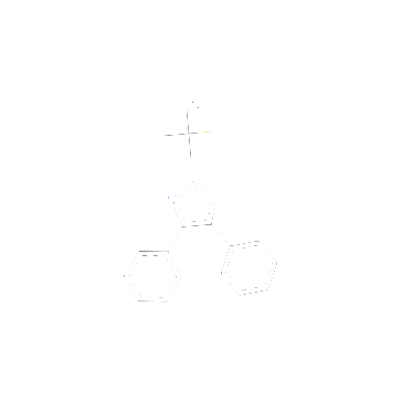 CC(C)(S)C#N.c1ccc(-c2ncsc2-c2ccccc2)cc1